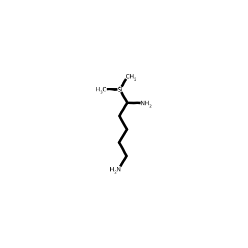 C[Si](C)C(N)CCCCN